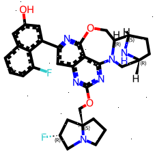 Oc1cc(-c2cc3nc(OC[C@@]45CCCN4C[C@H](F)C5)nc4c3c(n2)OC[C@H]2[C@@H]3CC[C@H](CN42)N3)c2c(F)cccc2c1